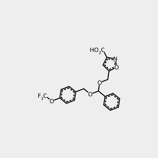 O=C(O)c1cc(COC(OCc2ccc(OC(F)(F)F)cc2)c2ccccc2)on1